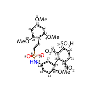 COc1cc(OC)c(C=CS(=O)(=O)Nc2ccc(OC)c(-c3c([N+](=O)[O-])ccc(S(=O)(=O)O)c3[N+](=O)[O-])c2)c(OC)c1